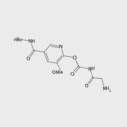 CCCCNC(=O)c1cnc(OC(=O)NC(=O)CN)c(OC)c1